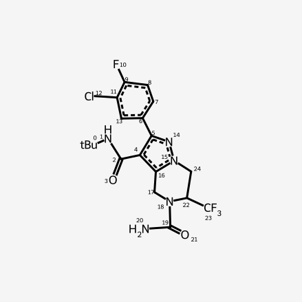 CC(C)(C)NC(=O)c1c(-c2ccc(F)c(Cl)c2)nn2c1CN(C(N)=O)C(C(F)(F)F)C2